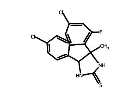 CC1(c2ccc(Cl)cc2F)NC(=S)NC1c1ccc(Cl)cc1